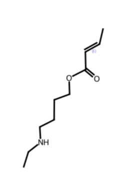 C/C=C/C(=O)OCCCCNCC